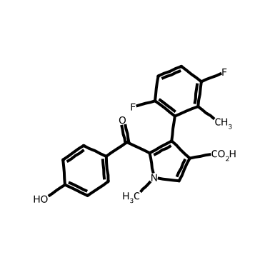 Cc1c(F)ccc(F)c1-c1c(C(=O)O)cn(C)c1C(=O)c1ccc(O)cc1